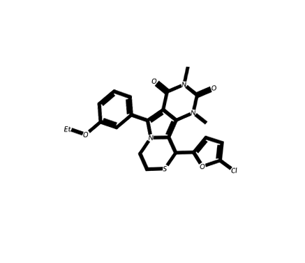 CCOc1cccc(-c2c3c(=O)n(C)c(=O)n(C)c3c3n2CCSC3c2ccc(Cl)o2)c1